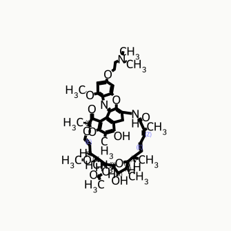 COc1cc(OCCN(C)C)cc2c1N=C1C(=C3Cc4c(O)c(C)c5c(c41)C(=O)[C@@](C)(O/C=C/[C@H](OC)[C@@H](C)[C@@H](OC(C)=O)[C@@H]1O[C@H]([C@@H](C)[C@H]1O)[C@@H](C)/C=C/C=C(/C)C(=O)N3)O5)O2